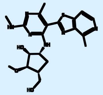 CNc1nc(C)c(-c2nc3c(C)nccc3s2)c(N[C@@H]2C[C@H](CO)[C@@H](OC)[C@H]2O)n1